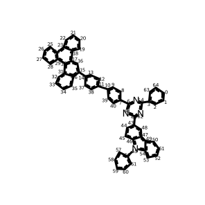 c1ccc(-c2nc(-c3ccc(-c4ccc(-c5cc6c7ccccc7c7ccccc7c6c6ccccc56)cc4)cc3)nc(-c3ccc4c(c3)c3ccccc3n4-c3ccccc3)n2)cc1